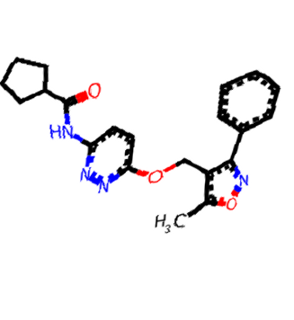 Cc1onc(-c2ccccc2)c1COc1ccc(NC(=O)C2CCCC2)nn1